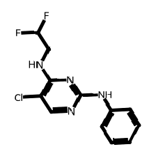 FC(F)CNc1nc(Nc2ccccc2)ncc1Cl